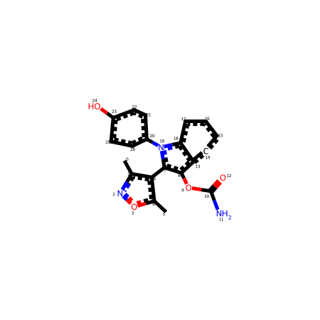 Cc1noc(C)c1-c1c(OC(N)=O)c2ccccc2n1-c1ccc(O)cc1